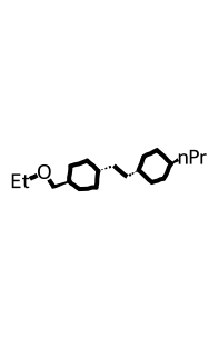 CCC[C@H]1CC[C@H](CC[C@H]2CC[C@H](COCC)CC2)CC1